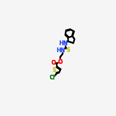 O=C(OCCNC(=S)NC1CCc2ccccc21)c1ccc(Cl)s1